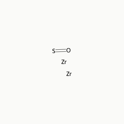 O=S.[Zr].[Zr]